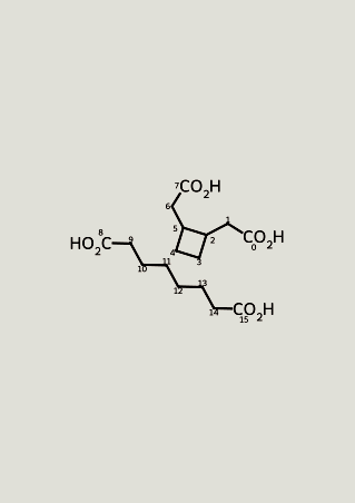 O=C(O)CC1CCC1CC(=O)O.O=C(O)CCCCCCC(=O)O